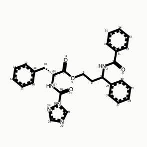 O=C(NC(CCOC(=O)[C@@H](Cc1ccccc1)NC(=O)n1cncn1)c1ccccc1)c1ccccc1